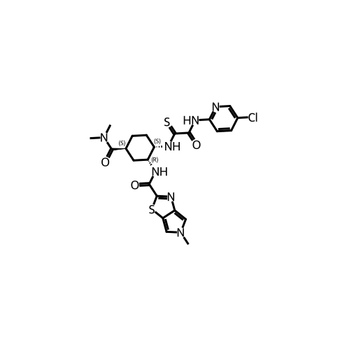 CN(C)C(=O)[C@H]1CC[C@H](NC(=S)C(=O)Nc2ccc(Cl)cn2)[C@H](NC(=O)c2nc3cn(C)cc3s2)C1